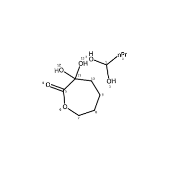 CCCC(O)O.O=C1OCCCCC1(O)O